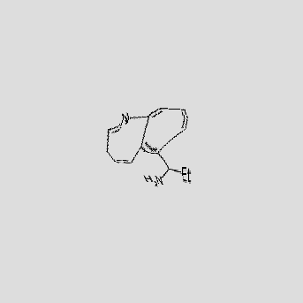 CCC(N)c1cccc2ncccc12